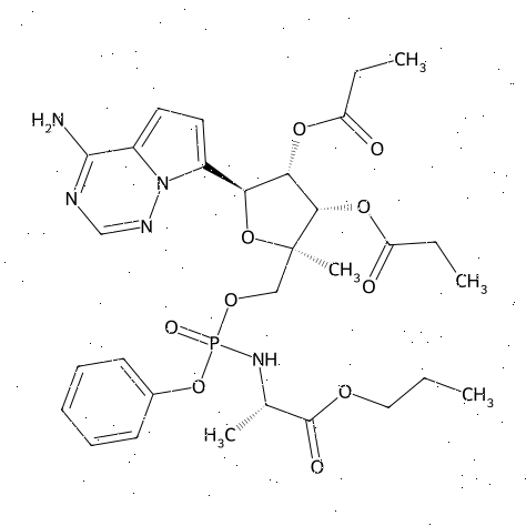 CCCOC(=O)[C@H](C)NP(=O)(OC[C@@]1(C)O[C@@H](c2ccc3c(N)ncnn23)[C@H](OC(=O)CC)[C@@H]1OC(=O)CC)Oc1ccccc1